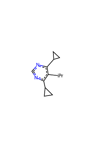 CC(C)c1c(C2CC2)ncnc1C1CC1